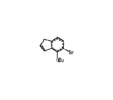 CCCCc1c(Br)ccc2c1C=CC2